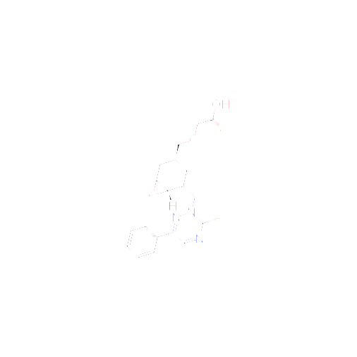 O=C(O)COC[C@H]1CC(CN2N=C(c3ccccc3)C=NC2F)[C@@H]2OC2C1